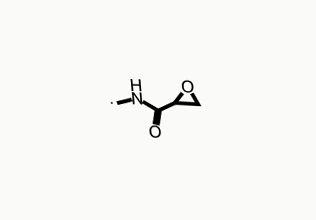 [CH2]NC(=O)C1CO1